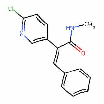 CNC(=O)C(=Cc1ccccc1)c1ccc(Cl)nc1